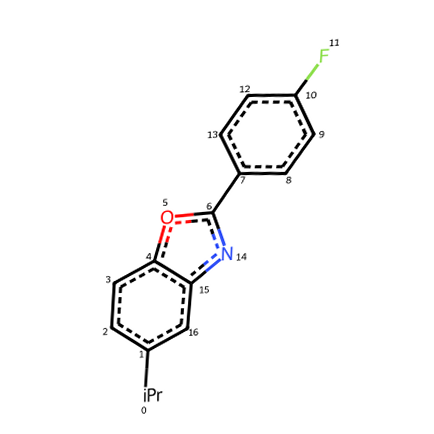 CC(C)c1ccc2oc(-c3ccc(F)cc3)nc2c1